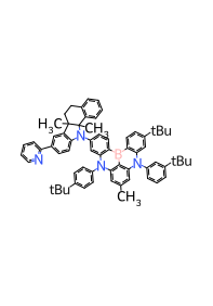 Cc1cc2c3c(c1)N(c1cccc(C(C)(C)C)c1)c1cc(C(C)(C)C)ccc1B3c1ccc(N3c4ccc(-c5ccccn5)cc4C4(C)CCc5ccccc5C34C)cc1N2c1ccc(C(C)(C)C)cc1